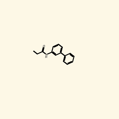 CCC(=O)Nc1cccc(-c2ccccc2)c1